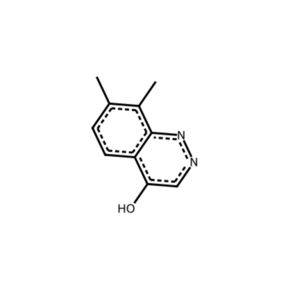 Cc1ccc2c(O)cnnc2c1C